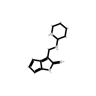 O=C1OC2=CC=CC2=C1COC1CCCCO1